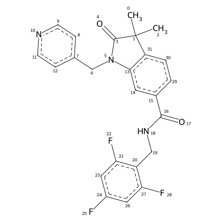 CC1(C)C(=O)N(Cc2ccncc2)c2cc(C(=O)NCc3c(F)cc(F)cc3F)ccc21